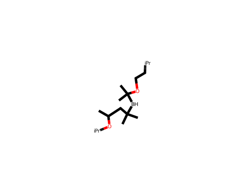 CC(C)CCOC(C)(C)BC(C)(C)CC(C)OC(C)C